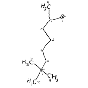 CC(Br)CCCC[N+](C)(C)C